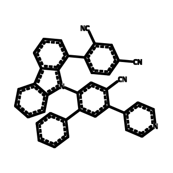 N#Cc1ccc(-c2cccc3c4ccccc4n(-c4cc(C#N)c(-c5ccncc5)cc4-c4ccccc4)c23)c(C#N)c1